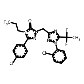 CC(F)(F)c1nc(Cn2nc(-c3ccc(Cl)cc3)n(CCC(F)(F)F)c2=O)nn1-c1ccccc1Cl